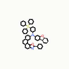 C1=CC2Oc3cc(N(c4cccc(S(c5ccccc5)(c5ccccc5)c5ccccc5)c4)c4ccc5ccc6ccc7nc(-c8ccccc8)oc7c6c5c4)ccc3C2C=C1